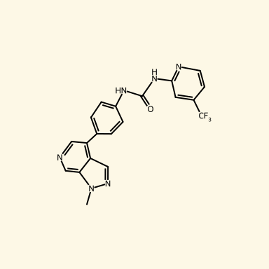 Cn1ncc2c(-c3ccc(NC(=O)Nc4cc(C(F)(F)F)ccn4)cc3)cncc21